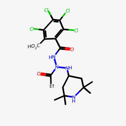 CCC(=O)N(NC(=O)c1c(Cl)c(Cl)c(Cl)c(Cl)c1C(=O)O)NC1CC(C)(C)NC(C)(C)C1